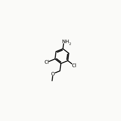 COCc1c(Cl)cc(N)cc1Cl